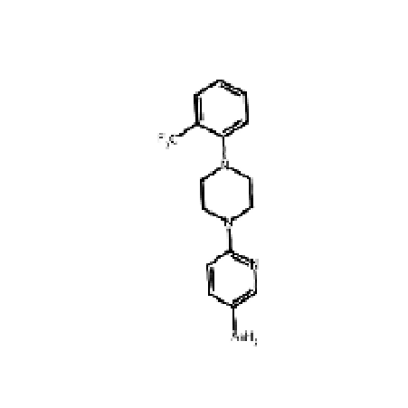 FC(F)(F)c1ccccc1N1CCN(c2ccc([AsH2])cn2)CC1